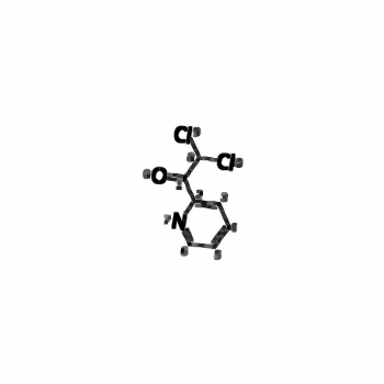 O=C(c1ccccn1)C(Cl)Cl